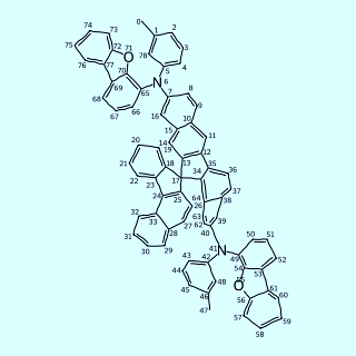 Cc1cccc(N(c2ccc3cc4c(cc3c2)C2(c3ccccc3-c3c2ccc2ccccc32)c2c-4ccc3cc(N(c4cccc(C)c4)c4cccc5c4oc4ccccc45)ccc23)c2cccc3c2oc2ccccc23)c1